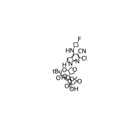 CC(C)(C)C(=O)OCOP(=O)(O)CS(=O)(=O)C[C@H]1O[C@@H](n2ccc3c(N[C@H]4C[C@@H](F)C4)c(C#N)c(Cl)nc32)[C@H](O)[C@@H]1O